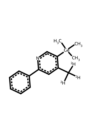 [2H]C([2H])([2H])c1cc(-c2ccccc2)nc[c]1[Ge]([CH3])([CH3])[CH3]